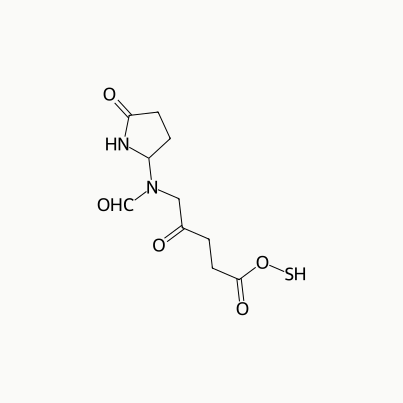 O=CN(CC(=O)CCC(=O)OS)C1CCC(=O)N1